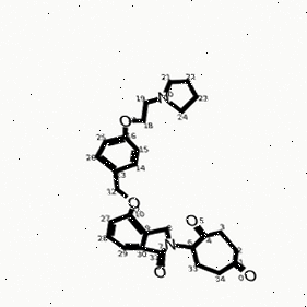 O=C1CCC(=O)C(N2Cc3c(OCc4ccc(OCCN5CCCC5)cc4)cccc3C2=O)CC1